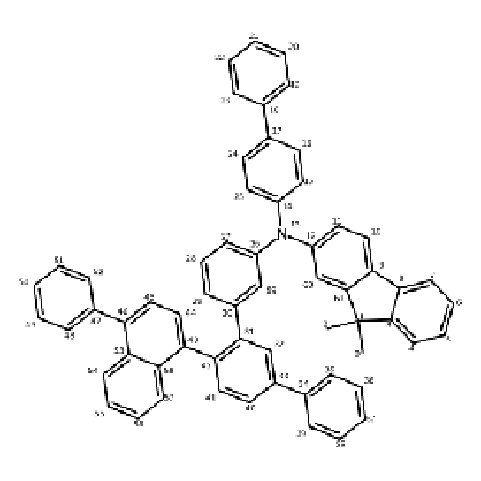 CC1(C)c2ccccc2-c2ccc(N(c3ccc(-c4ccccc4)cc3)c3cccc(-c4cc(-c5ccccc5)ccc4-c4ccc(-c5ccccc5)c5ccccc45)c3)cc21